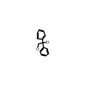 [O]CC([O])(c1ccccc1)c1ccccc1